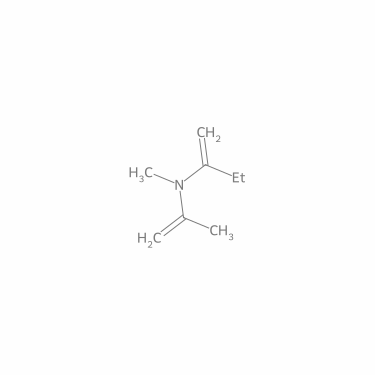 C=C(C)N(C)C(=C)CC